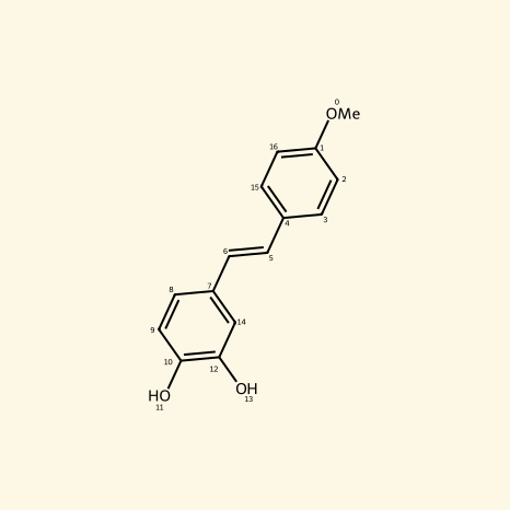 COc1ccc(/C=C/c2ccc(O)c(O)c2)cc1